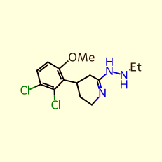 CCNNC1=NCCC(c2c(OC)ccc(Cl)c2Cl)C1